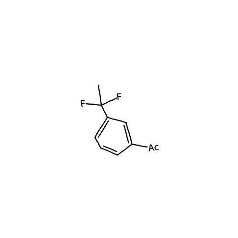 CC(=O)c1cccc(C(C)(F)F)c1